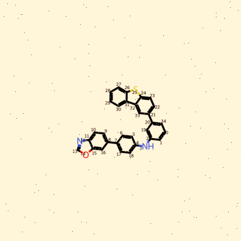 c1cc(Nc2ccc(-c3ccc4ncoc4c3)cc2)cc(-c2ccc3sc4ccccc4c3c2)c1